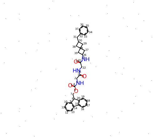 O=C(CNC(=O)OCC1c2ccccc2-c2ccccc21)NCC(=O)NC1CC2(CC(Cc3ccccc3)C2)C1